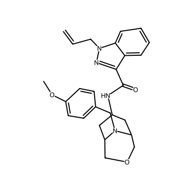 C=CCn1nc(C(=O)NC2CC3COCC(C2)N3Cc2ccc(OC)cc2)c2ccccc21